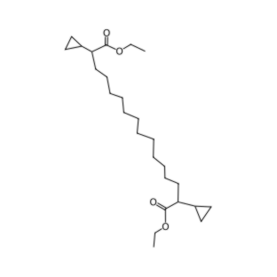 CCOC(=O)C(CCCCCCCCCCCCC(C(=O)OCC)C1CC1)C1CC1